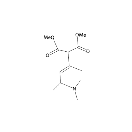 COC(=O)C(C(=O)OC)/C(C)=C/C(C)N(C)C